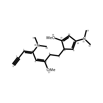 C#C/C=C(\C=C(/CCC1C=C(N(C)C)C=C1OC)OC)N(C)C